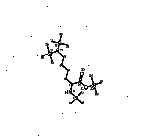 C[Si](C)(C)NC(CCCCN([Si](C)(C)C)[Si](C)(C)C)C(=O)O[Si](C)(C)C